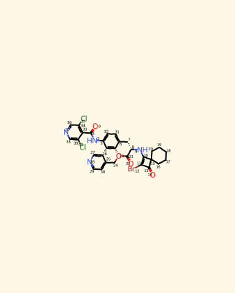 O=C(Nc1ccc(C[C@H](NC2=C(Br)C(=O)C23CCCCC3)C(=O)OCc2ccncc2)cc1)c1c(Cl)cncc1Cl